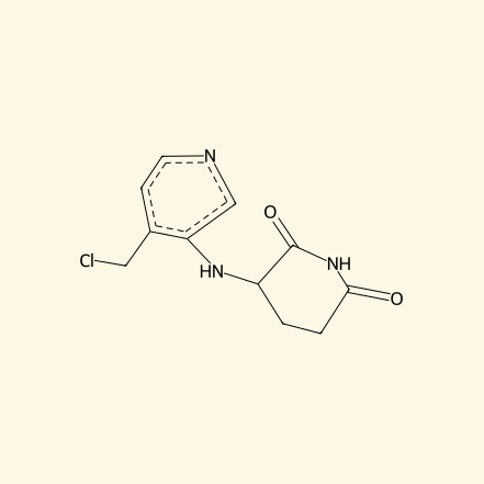 O=C1CCC(Nc2cnccc2CCl)C(=O)N1